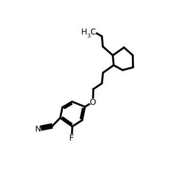 CCCC1CCCCC1CCCOc1ccc(C#N)c(F)c1